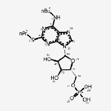 CCCCNc1nc(SCCC)nc2c1ncn2[C@@H]1O[C@H](COP(=O)(O)O)C(O)C1O